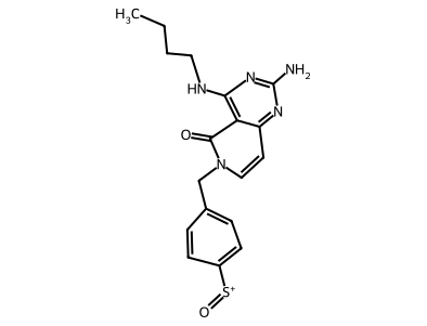 CCCCNc1nc(N)nc2ccn(Cc3ccc([S+]=O)cc3)c(=O)c12